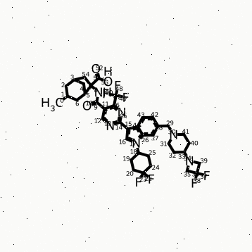 CC1CC2CC(C1)C(NC(=O)c1cnc(-c3cn(C4CCC(F)(F)CC4)c4cc(CN5CCC(N6CC(F)(F)C6)CC5)ccc34)nc1C(F)(F)F)(C(=O)O)C2